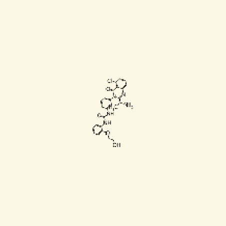 C[C@H](N)c1nc2cccc(Cl)c2c(=O)n1-c1cccc(NC(=O)Nc2ccccc2OCCO)c1